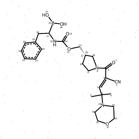 CC(C)(C=C(C#N)C(=O)N1CC[C@H](COC(=O)NC(Cc2ccccc2)B(O)O)C1)N1CCOCC1